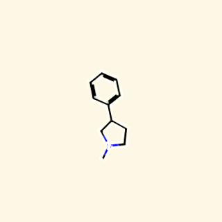 CN1CCC(c2cc[c]cc2)C1